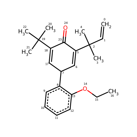 C=CC(C)(C)C1=CC(c2ccccc2OCC)C=C(C(C)(C)C)C1=O